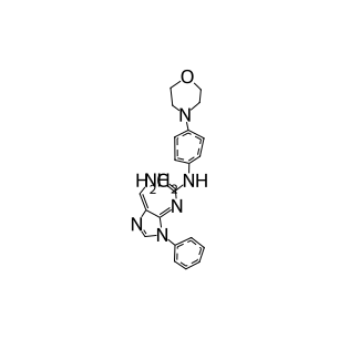 C=C(/N=C1\C(=C/N)N=CN1c1ccccc1)Nc1ccc(N2CCOCC2)cc1